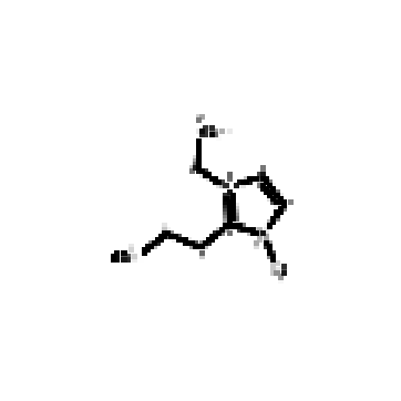 CCCCCCCCCCCCc1n(CC)cc[n+]1CCCCCCCCCCC